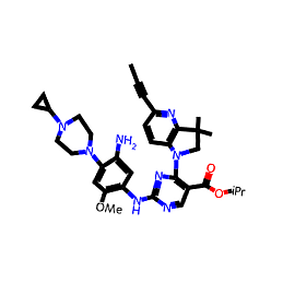 CC#Cc1ccc2c(n1)C(C)(C)CN2c1nc(Nc2cc(N)c(N3CCN(C4CC4)CC3)cc2OC)ncc1C(=O)OC(C)C